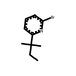 CCC(C)(C)c1cccc(Br)n1